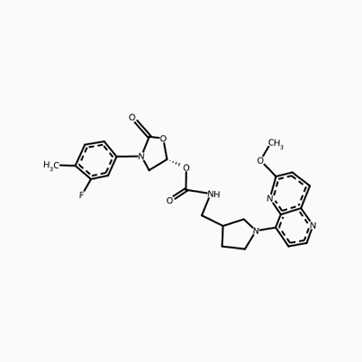 COc1ccc2nccc(N3CCC(CNC(=O)O[C@@H]4CN(c5ccc(C)c(F)c5)C(=O)O4)C3)c2n1